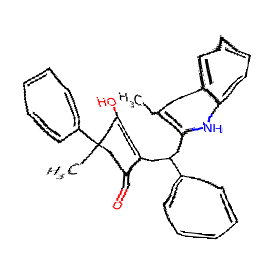 Cc1c(C(C2=C(O)C(C)(c3ccccc3)C2=O)c2ccccc2)[nH]c2ccccc12